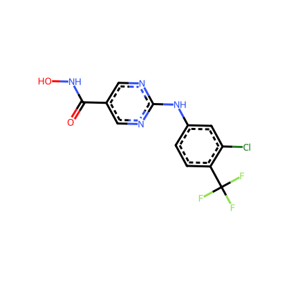 O=C(NO)c1cnc(Nc2ccc(C(F)(F)F)c(Cl)c2)nc1